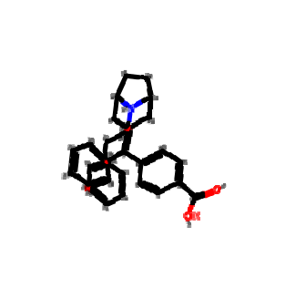 O=C(O)c1ccc(C(=C2CC3CCC(C2)N3CCc2ccccc2)c2ccccc2)cc1